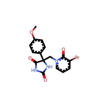 COc1ccc(C2(Cn3cccc(Br)c3=O)NC(=O)NC2=O)cc1